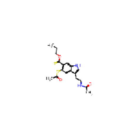 CCCOC(=S)c1cc2[nH]cc(CCNC(C)=O)c2cc1SC(C)=O